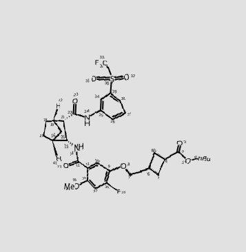 CCCCOC(=O)C1CC(COc2cc(C(=O)N[C@@H]3[C@@H]4CC[C@@H](C4)[C@@H]3C(=O)Nc3cccc(S(=O)(=O)C(F)(F)F)c3)c(OC)cc2F)C1